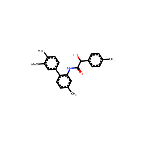 COc1ccc(-c2ccc(C)cc2NC(=O)C(O)c2ccc(C)cc2)cc1OC